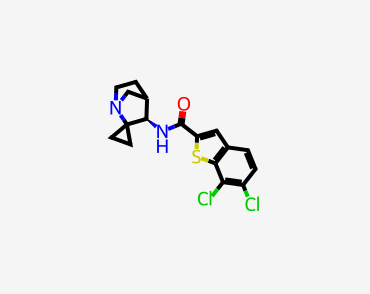 O=C(N[C@@H]1C2CCN(C2)C12CC2)c1cc2ccc(Cl)c(Cl)c2s1